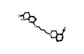 N#Cc1cccc2c1CCN(CCCCOc1ccc3c(n1)NC(=O)CC3)C2